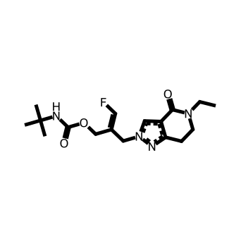 CCN1CCc2nn(CC(=CF)COC(=O)NC(C)(C)C)cc2C1=O